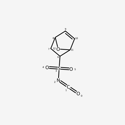 O=C=NS(=O)(=O)C1CC2C=CC1O2